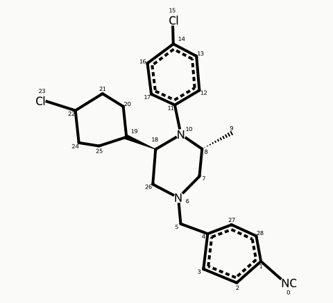 [C-]#[N+]c1ccc(CN2C[C@@H](C)N(c3ccc(Cl)cc3)[C@H](C3CCC(Cl)CC3)C2)cc1